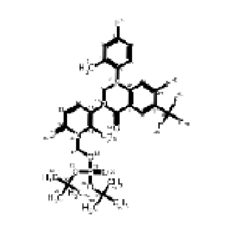 Cc1cc(F)ccc1N1CN(c2ccc(=O)n(COP(=O)(OC(C)(C)C)OC(C)(C)C)c2C)C(=O)c2cc(C(F)(F)F)c(F)cc21